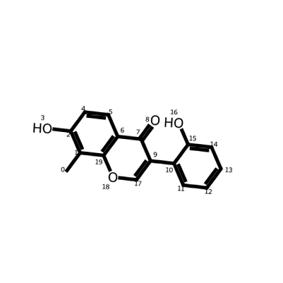 Cc1c(O)ccc2c(=O)c(-c3ccccc3O)coc12